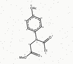 CCC(=O)N(CC(=O)OC)c1ccc(OC(C)=O)cc1